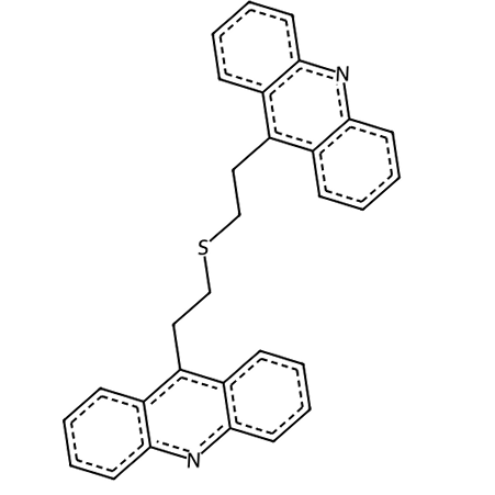 c1ccc2c(CCSCCc3c4ccccc4nc4ccccc34)c3ccccc3nc2c1